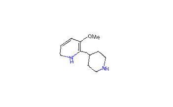 COC1=C(C2CCNCC2)NCC=C1